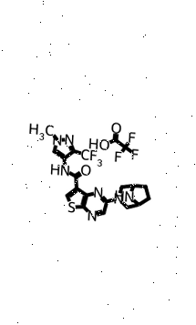 Cn1cc(NC(=O)c2csc3ncc(N4CC5CCC(C4)N5)nc23)c(C(F)(F)F)n1.O=C(O)C(F)(F)F